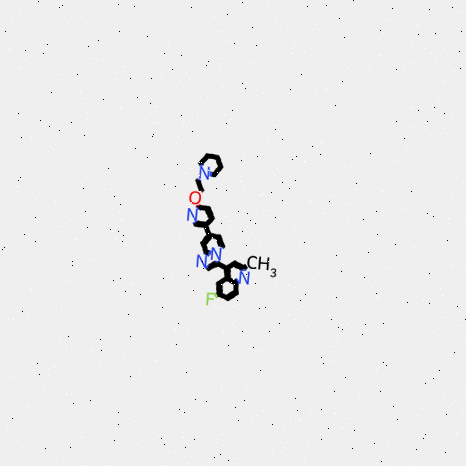 Cc1cc(-c2cnc3cc(-c4ccc(OCCN5CCCCC5)nc4)ccn23)c2cc(F)ccc2n1